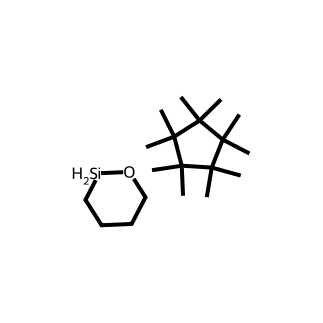 C1CC[SiH2]OC1.CC1(C)C(C)(C)C(C)(C)C(C)(C)C1(C)C